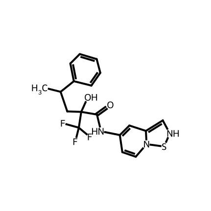 CC(CC(O)(C(=O)NC1=CC2=CNSN2C=C1)C(F)(F)F)c1ccccc1